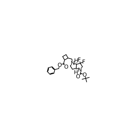 CC(C)(C)OC(=O)N1CC(F)(F)[C@H]2[C@@H]1CCN2CC1CCC1C(=O)OCc1ccccc1